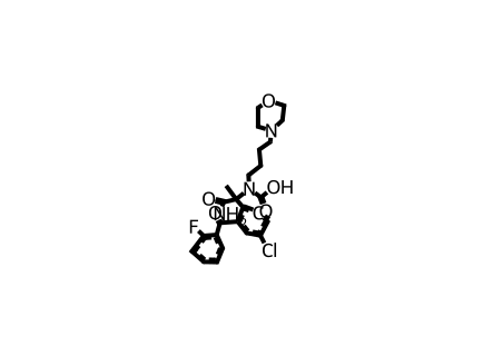 CC(C(N)=O)(c1ccc(Cl)cc1C(=O)c1ccccc1F)N(CCCCN1CCOCC1)C(=O)O